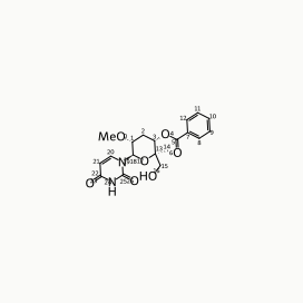 CO[C@@H]1C[C@H](OC(=O)c2ccccc2)[C@@](C)(CO)O[C@H]1n1ccc(=O)[nH]c1=O